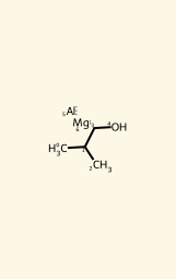 CC(C)CO.[Al].[Mg]